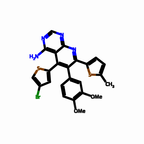 COc1ccc(-c2c(-c3ccc(C)s3)nc3ncnc(N)c3c2-c2cc(Br)cs2)cc1OC